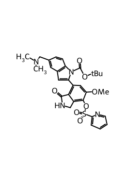 COc1cc(-c2cc3cc(CN(C)C)ccc3n2C(=O)OC(C)(C)C)c2c(c1OS(=O)(=O)c1ccccn1)CNC2=O